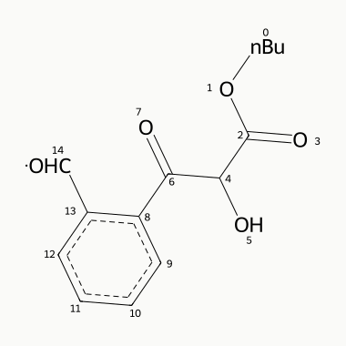 CCCCOC(=O)C(O)C(=O)c1ccccc1[C]=O